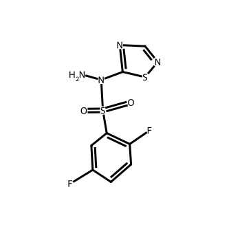 NN(c1ncns1)S(=O)(=O)c1cc(F)ccc1F